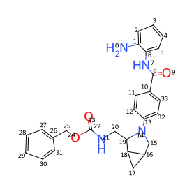 Nc1ccccc1NC(=O)c1ccc(N2CC3CC3C2CNC(=O)OCc2ccccc2)cc1